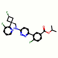 CC(C)OC(=O)c1ccc(F)c(-c2ccc(NC[C@]3(c4ncccc4F)C[C@H](F)C3)nn2)c1